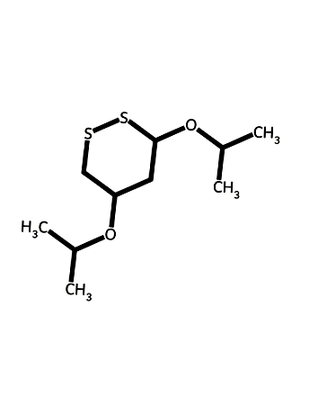 CC(C)OC1CSSC(OC(C)C)C1